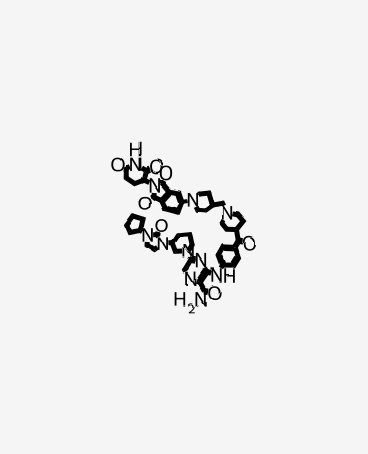 NC(=O)c1ncc(N2CCCC(N3CCN(C4CCCC4)C3=O)C2)nc1Nc1ccc(C(=O)C2CCN(CC3CCN(c4ccc5c(c4)C(=O)N(C4CCC(=O)NC4=O)C5=O)CC3)CC2)cc1